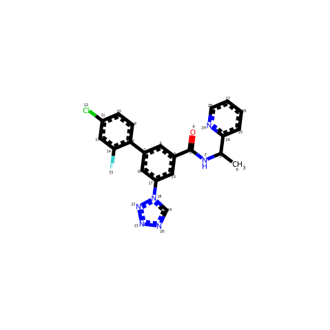 CC(NC(=O)c1cc(-c2ccc(Cl)cc2F)cc(-n2cnnn2)c1)c1ccccn1